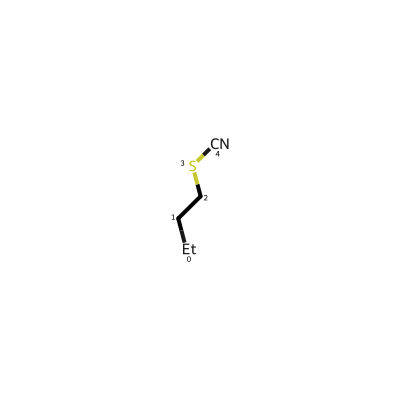 [CH2]CCCSC#N